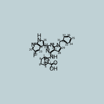 O=C(O)C1C2CCC(CC2)C1Nc1nc(-c2c[nH]c3ncc(F)cc23)nc2c1ccn2Cc1ccccc1